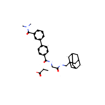 CN(C)C(=O)c1cccc(-c2ccc(C(=O)N[C@@H](CCC(=O)O)C(=O)NCC34CC5CC(CC(C5)C3)C4)cc2)c1